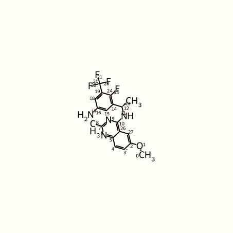 COc1[c]cc2nc(C)nc(N[C@H](C)c3cc(N)cc(C(F)(F)F)c3F)c2c1